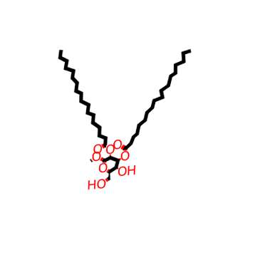 CCCCCCCCCCCCCCCCCC(=O)O[C@H]1[C@H](O)[C@@H](CO)OC(OC)[C@@H]1OC(=O)CCCCCCCCCCCCCCCCC